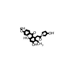 CCc1c(O)cc(O)c(C(=O)c2ccc(OC)cc2)c1CC(=O)N1CCC(O)C1